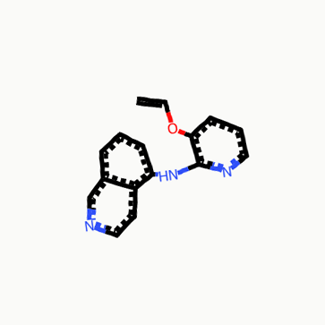 C=COc1cccnc1Nc1cccc2cnccc12